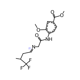 COC(=O)c1ccc(NC(=O)C/N=C/CC(C)C(F)(F)F)c(OC)c1